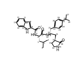 CC(C)C[C@H](NC(=O)c1cc2ccccc2[nH]1)C(=O)N[C@H](Cc1ccc(C(C)C)cc1)C[C@@H]1CCNC1=O